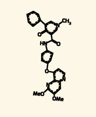 COc1cc2nccc(Oc3ccc(NC(=O)c4cn(C)cc(-c5ccccc5)c4=O)cc3)c2nc1OC